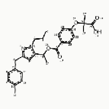 CCCn1nc(Cc2ccc(C)cc2)cc1C(C)OC(=O)c1ccc(OC(C)(C)C(=O)O)cc1